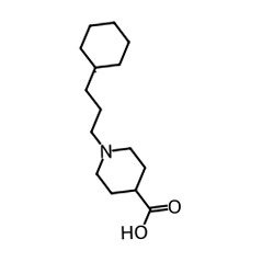 O=C(O)C1CCN(CCC[C]2CCCCC2)CC1